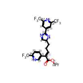 CC(C)OC(=O)/C(=C/CCC1C=NC(c2cc(C(F)(F)F)nc(C(F)(F)F)c2)=N1)c1ccc(C(F)(F)F)nc1